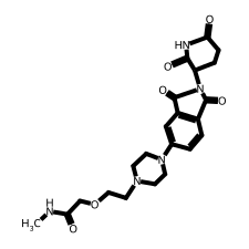 CNC(=O)COCCN1CCN(c2ccc3c(c2)C(=O)N(C2CCC(=O)NC2=O)C3=O)CC1